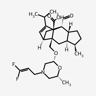 CC(C)C1=C[C@H]2C[C@@]3(C=O)[C@@H]4CC[C@@H](C)[C@H]4C[C@@]2(CO[C@H]2CN(CC=C(F)F)C[C@@H](C)O2)[C@]13C(=O)O